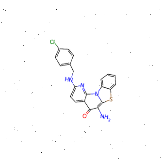 Nc1c(=O)c2ccc(NCc3ccc(Cl)cc3)nc2n2c1sc1ccccc12